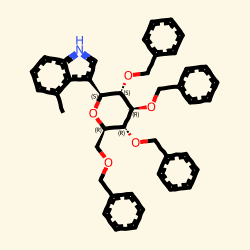 Cc1cccc2[nH]cc([C@@H]3O[C@H](COCc4ccccc4)[C@@H](OCc4ccccc4)[C@H](OCc4ccccc4)[C@H]3OCc3ccccc3)c12